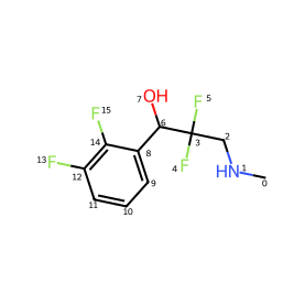 CNCC(F)(F)C(O)c1cccc(F)c1F